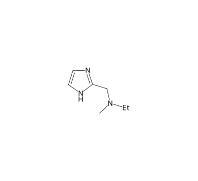 CCN(C)Cc1ncc[nH]1